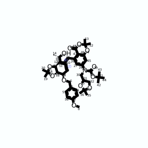 COc1ccc(CO[C@H](/C=C\[C@@H](C)[C@H](C)O)[C@H]2OC(C)(C)O[C@H]2C/C=C/c2cc(N(CC3COC(C)(C)O3)C(=O)OC(C)(C)C)cc3c2C(=O)OC(C)(C)O3)cc1